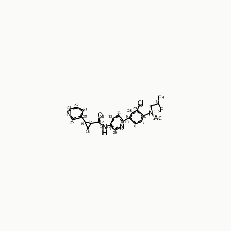 CC(=O)N(CC(F)F)c1ccc(-c2ccc(NC(=O)C3CC3c3cccnc3)cn2)cc1Cl